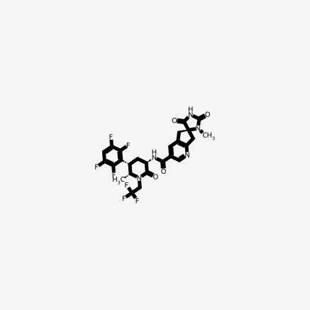 C[C@@H]1[C@H](c2c(F)c(F)cc(F)c2F)C[C@H](NC(=O)c2cnc3c(c2)C[C@@]2(C3)C(=O)NC(=O)N2C)C(=O)N1CC(F)(F)F